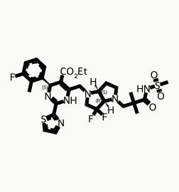 CCOC(=O)C1=C(CN2CC(F)(F)[C@H]3[C@@H]2CCN3CC(C)(C)C(=O)NS(C)(=O)=O)NC(c2nccs2)=N[C@H]1c1cccc(F)c1C